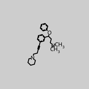 CN(C)CCC(Oc1ccccc1)c1cccc(C#CCCN2CCCCC2)c1